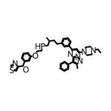 CCN1CCN(c2cc(-c3cccc(CCC(C)CPCCOc4cccc(C(=O)c5cscn5)c4)c3)nc3c(-c4ccccc4)c(C)nn23)CC1